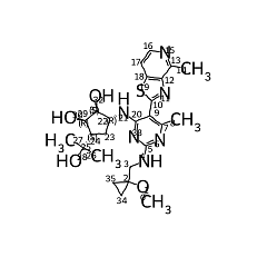 COC1(CNc2nc(C)c(-c3nc4c(C)nccc4s3)c(N[C@@H]3C[C@H](C(C)(C)O)[C@@H](O)[C@H]3O)n2)CC1